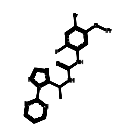 CC(C)Oc1cc(NC(=O)NC(C)c2ncnn2-c2ncccn2)c(F)cc1Br